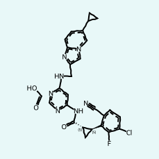 N#Cc1ccc(Cl)c(F)c1[C@H]1C[C@@H]1C(=O)Nc1cc(NCc2cn3cc(C4CC4)ccc3n2)ncn1.O=CO